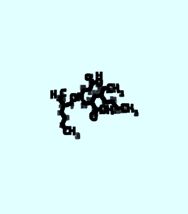 CCCCC(CC)CON(CCC(=O)O)CC(CC(CC)CCCC)C(=O)O